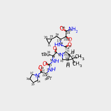 CC(C)[C@H](NC(=O)N[C@H](C(=O)N1C[C@H]2[C@@H]([C@H]1C(=O)NC(CC1CC1)C(=O)C(N)=O)C2(C)C)C(C)(C)C)C(=O)N1CCCC1